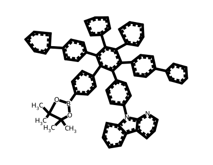 CC1(C)OB(c2ccc(-c3c(-c4ccc(-c5ccccc5)cc4)c(-c4ccccc4)c(-c4ccccc4)c(-c4ccc(-c5ccccc5)cc4)c3-c3ccc(-n4c5ccccc5c5cccnc54)cc3)cc2)OC1(C)C